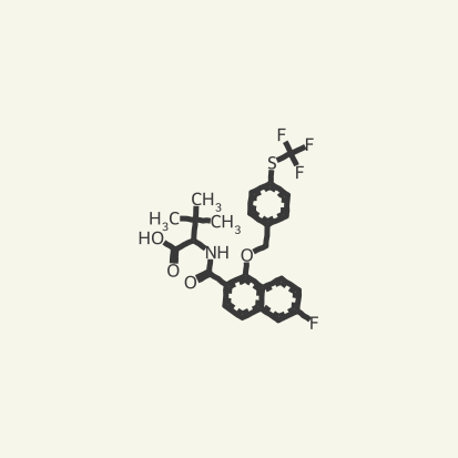 CC(C)(C)C(NC(=O)c1ccc2cc(F)ccc2c1OCc1ccc(SC(F)(F)F)cc1)C(=O)O